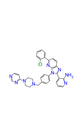 Nc1ncccc1-c1nc2ccc(-c3ccccc3Cl)nc2n1-c1ccc(CN2CCN(c3ccncn3)CC2)cc1